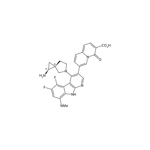 CNc1cc(F)c(F)c2c1[nH]c1ncc(-c3ccc4ccc(C(=O)O)c(=O)n4c3)c(N3CC[C@@]4(C[C@@H]4N)C3)c12